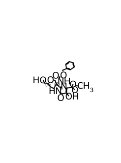 CC1OC(c2nc([C@@]3(NC(=O)OCc4ccccc4)CC[C@@H](CO)OC3)[nH]c(=O)c2O)O1